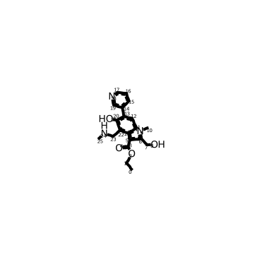 CCOC(=O)c1c(CO)n(C)c2cc(-c3cccnc3)c(O)c(CNC)c12